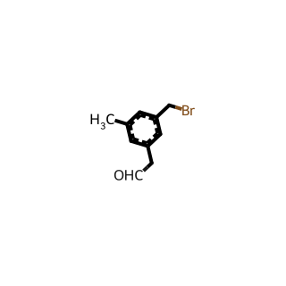 Cc1cc(CBr)cc(CC=O)c1